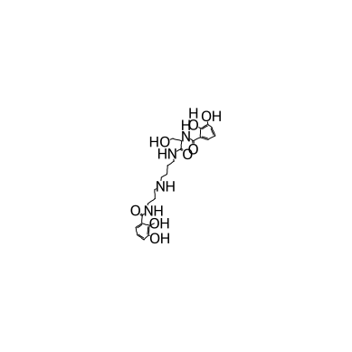 O=C(NCCCNCCCCNC(=O)C(CO)NC(=O)c1cccc(O)c1O)c1cccc(O)c1O